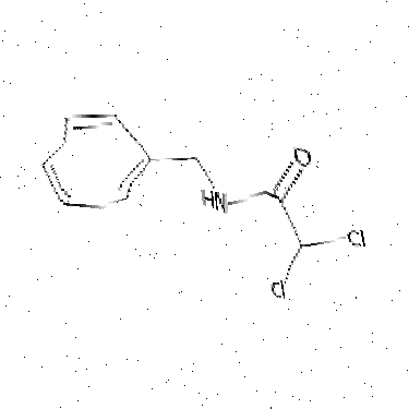 O=C(NCc1ccccc1)C(Cl)Cl